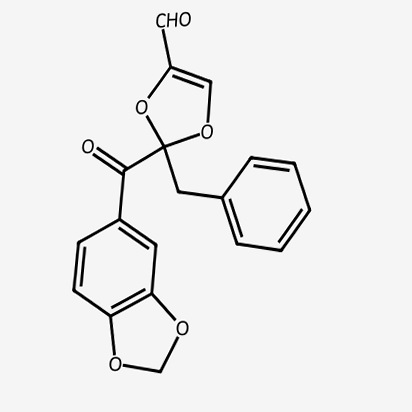 O=CC1=COC(Cc2ccccc2)(C(=O)c2ccc3c(c2)OCO3)O1